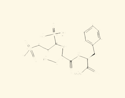 CNC(=O)[C@H](Cc1ccccc1)NC(=O)[C@H](CC(C)C)NC(CCS(C)(=O)=O)P(=O)(O)O